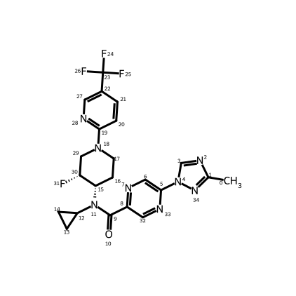 Cc1ncn(-c2cnc(C(=O)N(C3CC3)[C@H]3CCN(c4ccc(C(F)(F)F)cn4)C[C@H]3F)cn2)n1